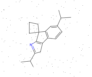 CC(C)C1=NC2=C(C1)c1ccc(C(C)C)cc1C21CCC1